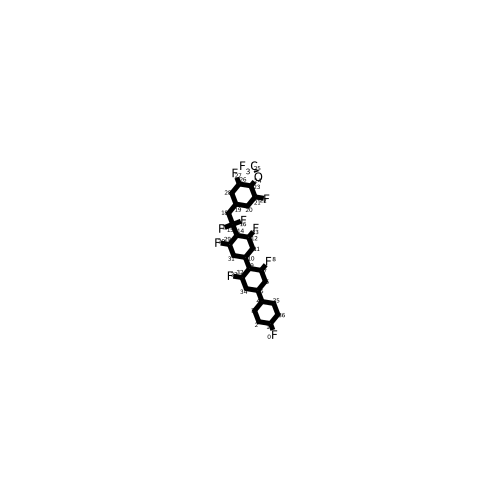 FC1CCC(C2CC(F)C(C3CC(F)C(C(F)(F)CC4CC(F)C(OC(F)(F)F)C(F)C4)C(F)C3)C(F)C2)CC1